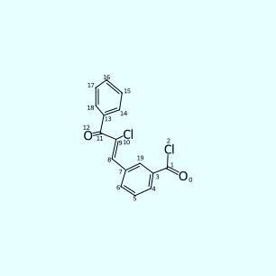 O=C(Cl)c1cccc(C=C(Cl)C(=O)c2ccccc2)c1